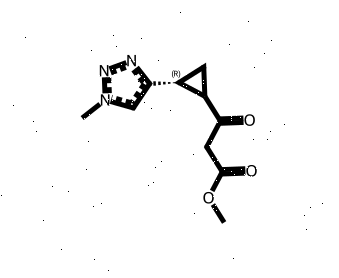 COC(=O)CC(=O)C1C[C@H]1c1cn(C)nn1